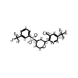 O=S(=O)(c1cccc(C(F)(F)F)c1)C1CCOC(c2ncc(C(F)(F)F)cc2Cl)C1